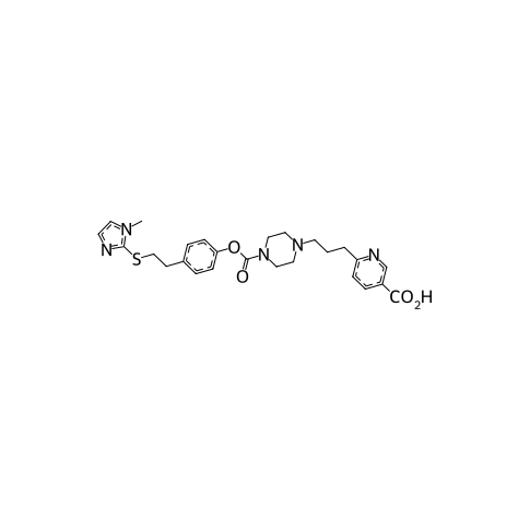 Cn1ccnc1SCCc1ccc(OC(=O)N2CCN(CCCc3ccc(C(=O)O)cn3)CC2)cc1